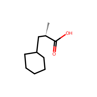 C[C@@H](CC1CCCCC1)C(=O)O